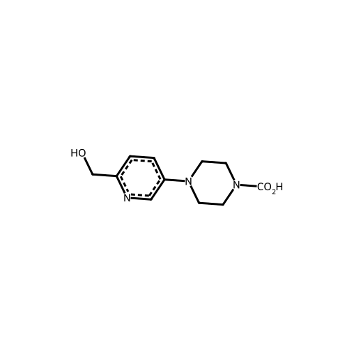 O=C(O)N1CCN(c2ccc(CO)nc2)CC1